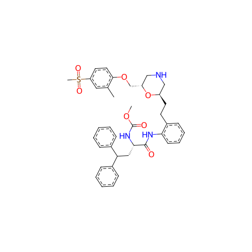 COC(=O)N[C@@H](CC(c1ccccc1)c1ccccc1)C(=O)Nc1ccccc1CC[C@@H]1CNC[C@@H](COc2ccc(S(C)(=O)=O)cc2C)O1